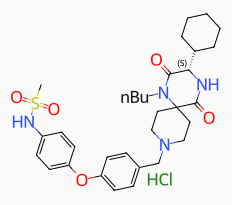 CCCCN1C(=O)[C@H](C2CCCCC2)NC(=O)C12CCN(Cc1ccc(Oc3ccc(NS(C)(=O)=O)cc3)cc1)CC2.Cl